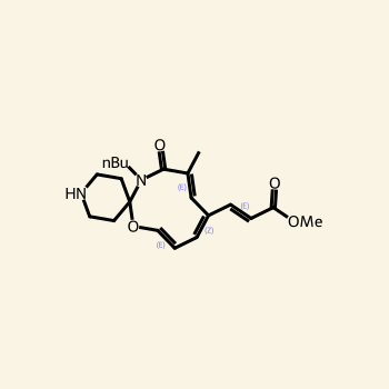 CCCCN1C(=O)/C(C)=C/C(/C=C/C(=O)OC)=C\C=C\OC12CCNCC2